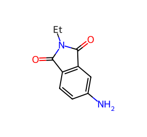 CCN1C(=O)c2ccc(N)cc2C1=O